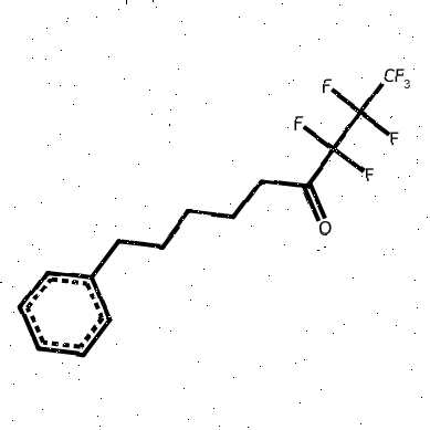 O=C(CCCCCc1ccccc1)C(F)(F)C(F)(F)C(F)(F)F